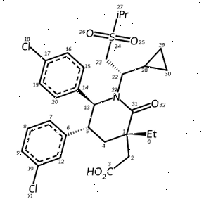 CC[C@@]1(CC(=O)O)C[C@H](c2cccc(Cl)c2)[C@@H](c2ccc(Cl)cc2)N([C@H](CS(=O)(=O)C(C)C)C2CC2)C1=O